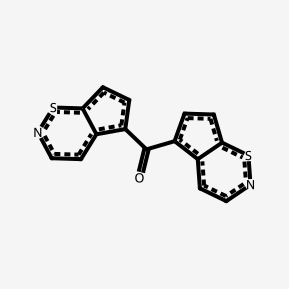 O=C(c1ccc2snccc1-2)c1ccc2snccc1-2